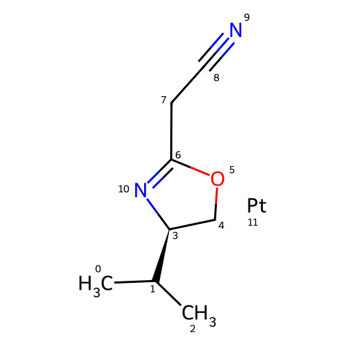 CC(C)[C@@H]1COC(CC#N)=N1.[Pt]